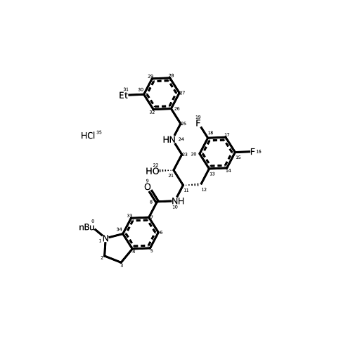 CCCCN1CCc2ccc(C(=O)N[C@@H](Cc3cc(F)cc(F)c3)[C@H](O)CNCc3cccc(CC)c3)cc21.Cl